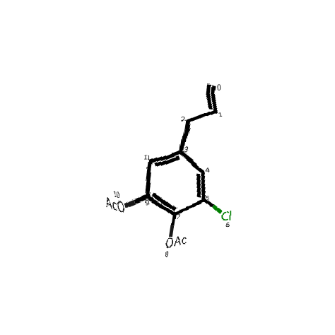 C=CCc1cc(Cl)c(OC(C)=O)c(OC(C)=O)c1